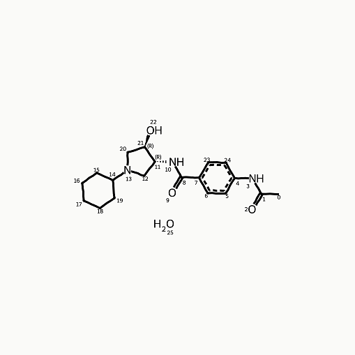 CC(=O)Nc1ccc(C(=O)N[C@@H]2CN(C3CCCCC3)C[C@H]2O)cc1.O